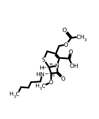 CCCCCN[C@@]1(OC)C(=O)N2C(C(=O)O)=C(COC(C)=O)CS[C@@H]21